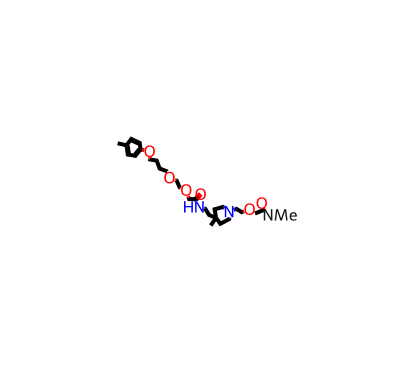 CNC(=O)COCCN1CCC(C)(CCNC(=O)COCCOCCCCOc2ccc(C)cc2)CC1